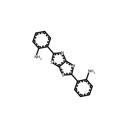 Nc1ccccc1-c1nc2nc(-c3ccccc3N)sc2s1